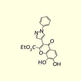 CCOC(=O)c1oc2c(O)c(O)ccc2c(=O)c1-c1cnn(-c2ccccc2)c1